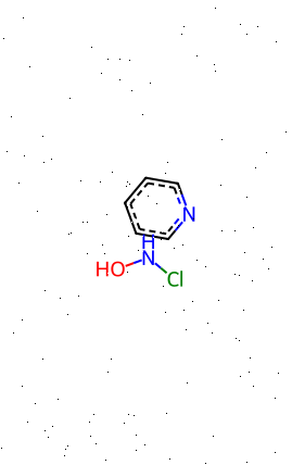 ONCl.c1ccncc1